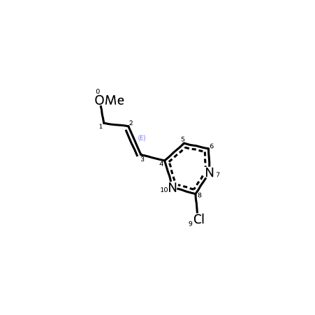 COC/C=C/c1ccnc(Cl)n1